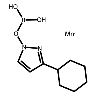 OB(O)On1ccc(C2CCCCC2)n1.[Mn]